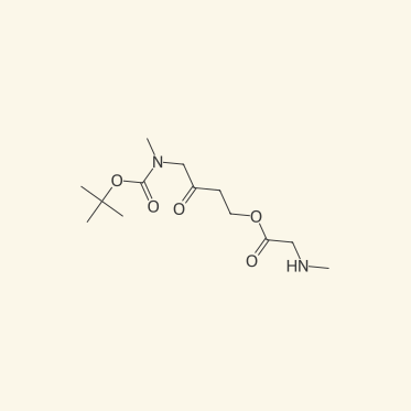 CNCC(=O)OCCC(=O)CN(C)C(=O)OC(C)(C)C